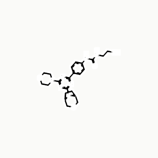 O=C(NCCO)Nc1ccc(-c2nc(N3CCOCC3)nc(N3C4CCC3COC4)n2)cc1